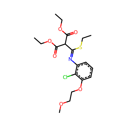 CCOC(=O)C(C(=O)OCC)C(=Nc1cccc(OCCOC)c1Cl)SCC